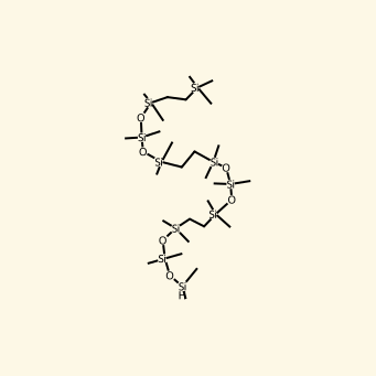 C[SiH](C)O[Si](C)(C)O[Si](C)(C)CC[Si](C)(C)O[Si](C)(C)O[Si](C)(C)CC[Si](C)(C)O[Si](C)(C)O[Si](C)(C)CC[Si](C)(C)C